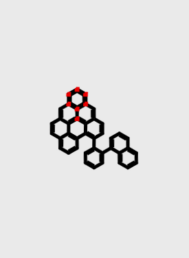 c1ccc(-c2cccc3ccccc23)c(-c2ccc3cc4ccccc4cc3c2-c2cccc3ccc4cc5ccccc5cc4c23)c1